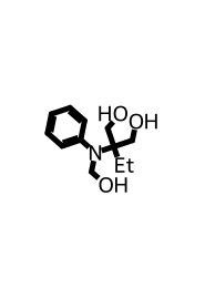 CCC(CO)(CO)N(CO)c1ccccc1